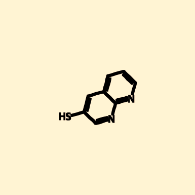 Sc1cnc2ncccc2c1